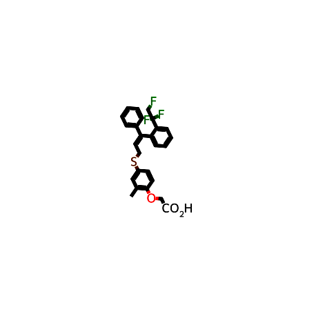 Cc1cc(SC/C=C(/c2ccccc2)c2ccccc2C(F)(F)CF)ccc1OCC(=O)O